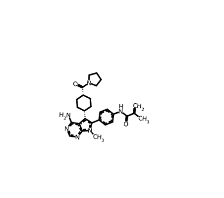 C=C(C)C(=O)Nc1ccc(-c2c([C@H]3CC[C@@H](C(=O)N4CCCC4)CC3)c3c(N)ncnc3n2C)cc1